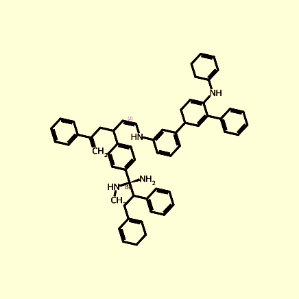 C=C(CC(/C=C\Nc1cccc(C2C=C(c3ccccc3)C(NC3=CC=CCC3)=CC2)c1)c1ccc([C@@](N)(NC)C(CC2=CCCC=C2)c2ccccc2)cc1)c1ccccc1